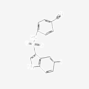 N#Cc1ccc(NS(=O)(=O)c2c[nH]c3ccc(I)cc23)cc1